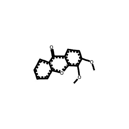 COc1ccc2c(=O)c3ccccc3oc2c1OC